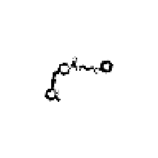 Cc1cccc(C#CC=C2CCN(C(=O)OCCCOc3ccccc3)CC2)n1